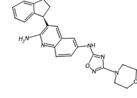 Nc1nc2ccc(Nc3nc(N4CCOCC4)no3)cc2cc1[C@@H]1CCc2ccccc21